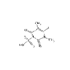 Cc1c(I)n(C)c(=O)n(S(=O)(=O)O)c1=O